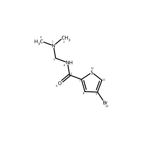 CN(C)CNC(=O)c1cc(Br)cs1